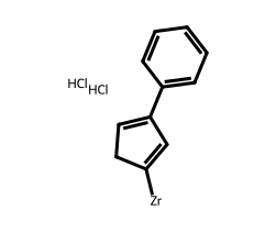 Cl.Cl.[Zr][C]1=CC(c2ccccc2)=CC1